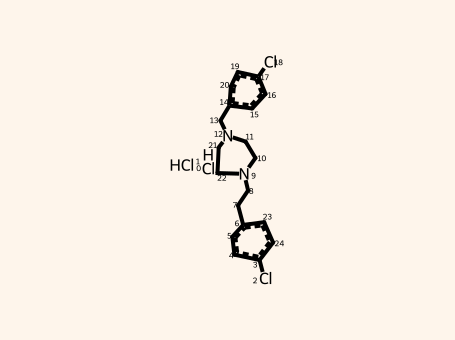 Cl.Cl.Clc1ccc(CCN2CCN(Cc3ccc(Cl)cc3)CC2)cc1